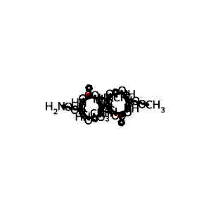 CCCOCCOCCN1CCNC(=O)c2cccc(c2C)C(=O)NCCN(CCN2CCNC(=O)c3cccc(c3C)C(=O)NCCN(CCOCCOCCN)CCNC(=O)c3cccc(c3OCc3ccccc3)C(=O)NCC2)CCNC(=O)c2cccc(c2OCc2ccccc2)C(=O)NCC1